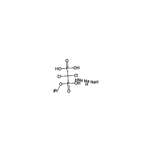 CC(C)OP(=O)(O)C(Cl)(Cl)P(=O)(O)O.[NaH].[NaH].[NaH]